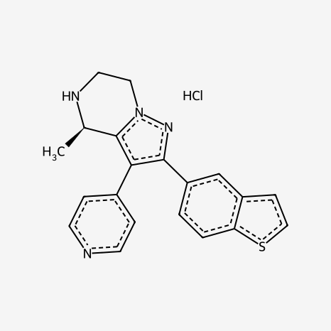 C[C@H]1NCCn2nc(-c3ccc4sccc4c3)c(-c3ccncc3)c21.Cl